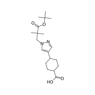 CC(C)(C)OC(=O)C(C)(C)Cn1cc(C2CCC(C(=O)O)CC2)cn1